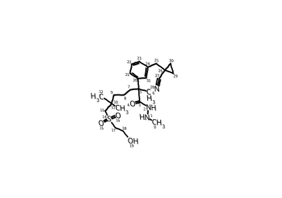 CNNC(=O)C(C)(CCCC(C)(C)CS(=O)(=O)CCO)c1cccc(CC2(C#N)CC2)c1